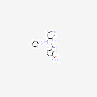 NC(=O)c1cccc2c(C3NC4=C(CC=CN=C4)C(NCc4ccccc4)N3)nsc12